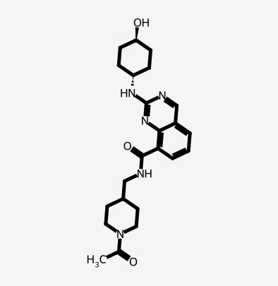 CC(=O)N1CCC(CNC(=O)c2cccc3cnc(N[C@H]4CC[C@H](O)CC4)nc23)CC1